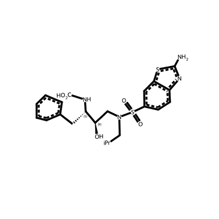 CC(C)CN(C[C@@H](O)[C@H](Cc1ccccc1)NC(=O)O)S(=O)(=O)c1ccc2nc(N)sc2c1